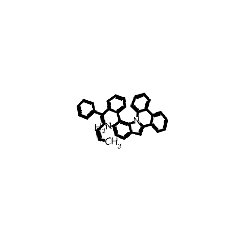 C/C=C\C=C(c1ccccc1)c1ccccc1-c1c(N)ccc2cc3c4ccccc4c4ccccc4n3c12